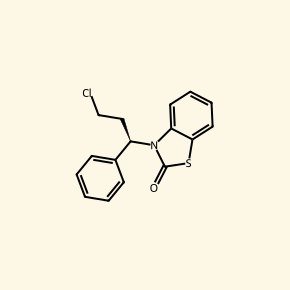 O=c1sc2ccccc2n1[C@H](CCCl)c1ccccc1